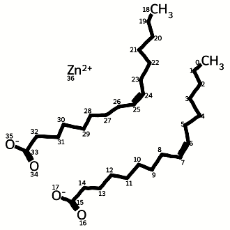 CCCCCC/C=C\CCCCCCCC(=O)[O-].CCCCCC/C=C\CCCCCCCC(=O)[O-].[Zn+2]